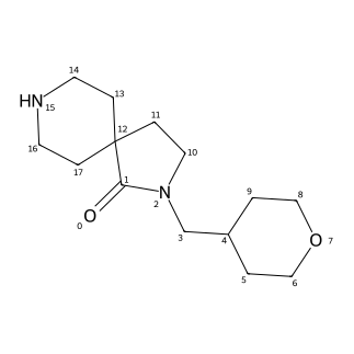 O=C1N(CC2CCOCC2)CCC12CCNCC2